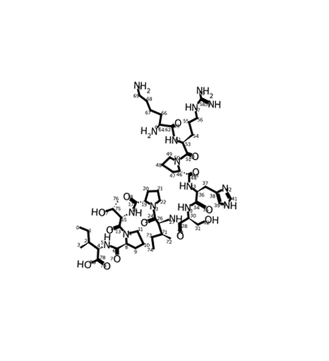 CC[C@H](C)[C@H](NC(=O)[C@@H]1CCCN1C(=O)[C@@H](NC(=O)[C@@H]1CCCN1C(=O)[C@@H](NC(=O)[C@H](CO)NC(=O)[C@H](Cc1c[nH]cn1)NC(=O)[C@@H]1CCCN1C(=O)[C@H](CCCNC(=N)N)NC(=O)[C@@H](N)CCCCN)[C@@H](C)CC)[C@@H](C)O)C(=O)O